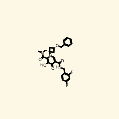 CN1C[C@]2(C[C@@H](OCc3ccccc3)C2)n2cc(C(=O)NCc3ccc(F)cc3F)c(=O)c(O)c2C1=O